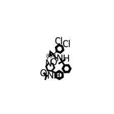 CC(=O)NC1(c2ccccc2)CCN(C[C@@H]2C[C@@]2(C(=O)NC(C)(C)c2ccccc2)c2ccc(Cl)c(Cl)c2)CC1